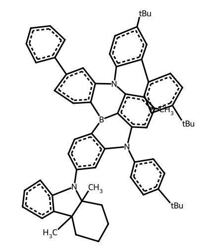 Cc1cc2c3c(c1)N(c1ccc(C(C)(C)C)cc1-c1ccc(C(C)(C)C)cc1)c1cc(-c4ccccc4)ccc1B3c1ccc(N3c4ccccc4C4(C)CCCCC34C)cc1N2c1ccc(C(C)(C)C)cc1